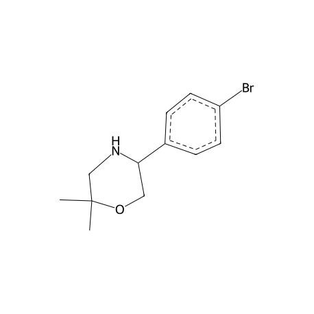 CC1(C)CNC(c2ccc(Br)cc2)CO1